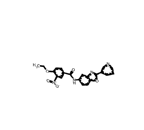 CCOc1ccc(C(=O)Nc2ccc3oc(-c4cccnc4)nc3c2)cc1[N+](=O)[O-]